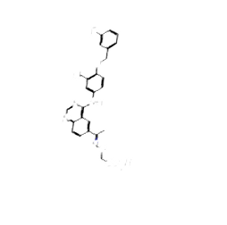 C/C(=N\OCC(=O)O)c1ccc2ncnc(Nc3ccc(OCc4cccc(F)c4)c(Cl)c3)c2c1